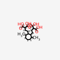 CC1CCCC(C)C(CCC(C(=O)O)C(=O)O)C1CCC(C(=O)O)C(=O)O